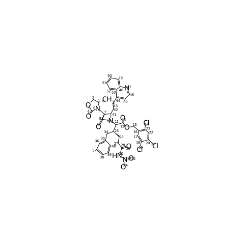 C[C@H]1COC(=O)N1C1C(=O)N(C(C(=O)OCc2cc(Cl)c(Cl)cc2Cl)[C@@H](CCC(=O)N[N+](=O)[O-])Cc2ccccc2)C1CCc1ccnc2ccccc12